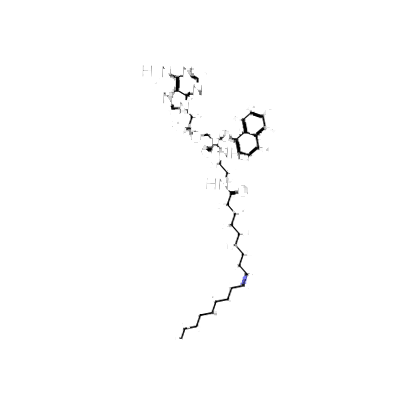 CCCCCCCC/C=C\CCCCCCCC(=O)NCCNP(=O)(CO[C@H](C)Cn1cnc2c(N)ncnc21)Oc1cccc2ccccc12